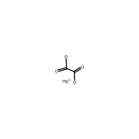 O=C([O-])C(=O)[O-].[Hg+2]